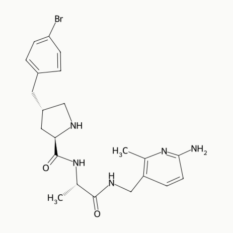 Cc1nc(N)ccc1CNC(=O)[C@H](C)NC(=O)[C@H]1C[C@H](Cc2ccc(Br)cc2)CN1